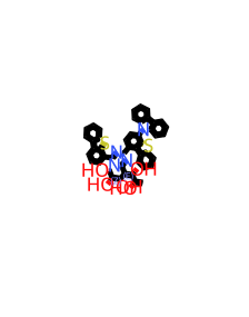 C=C(O)/C(O)=C(\C(O)=C(\O)CO)c1nc(-c2cccc3c2sc2ccccc23)nc(-c2ccc(-n3c4ccccc4c4ccccc43)c3sc4ccccc4c23)n1